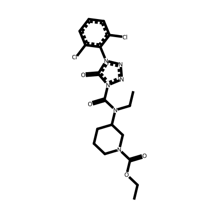 CCOC(=O)N1CCCC(N(CC)C(=O)n2nnn(-c3c(Cl)cccc3Cl)c2=O)C1